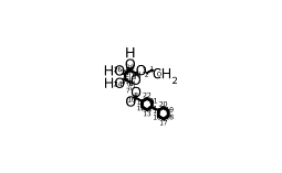 C=CCO[C@@H]1O[C@H](COC(=O)c2ccc(-c3ccccc3)cc2)[C@@H](O)[C@H](O)[C@H]1O